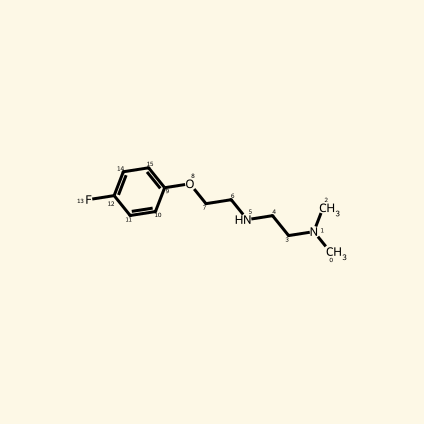 CN(C)CCNCCOc1ccc(F)cc1